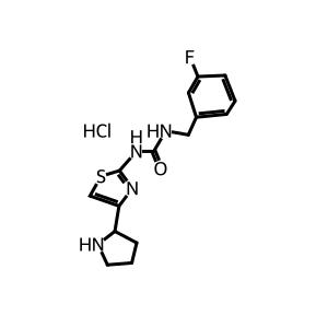 Cl.O=C(NCc1cccc(F)c1)Nc1nc(C2CCCN2)cs1